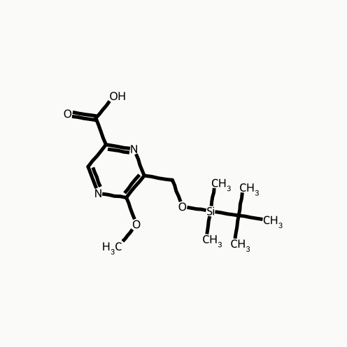 COc1ncc(C(=O)O)nc1CO[Si](C)(C)C(C)(C)C